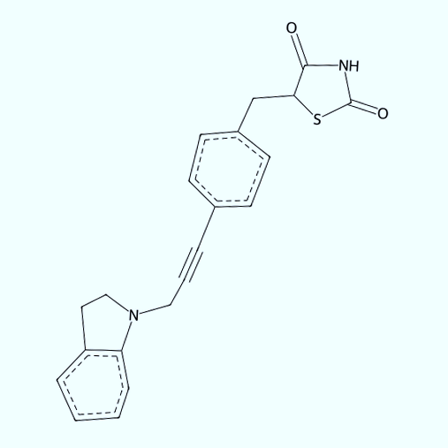 O=C1NC(=O)C(Cc2ccc(C#CCN3CCc4ccccc43)cc2)S1